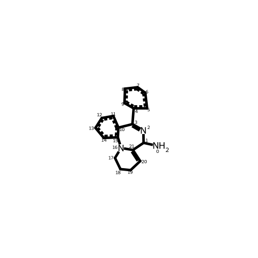 NC1N=C(c2ccccc2)c2ccccc2N2CCCC=C12